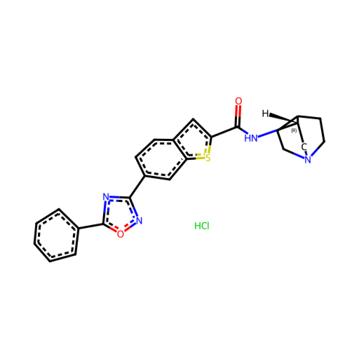 Cl.O=C(N[C@H]1CN2CCC1CC2)c1cc2ccc(-c3noc(-c4ccccc4)n3)cc2s1